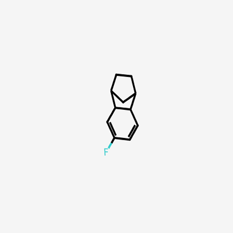 FC1=CC2C3CCC(C3)C2C=C1